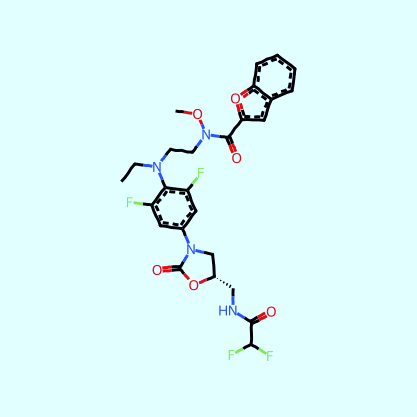 CCN(CCN(OC)C(=O)c1cc2ccccc2o1)c1c(F)cc(N2C[C@H](CNC(=O)C(F)F)OC2=O)cc1F